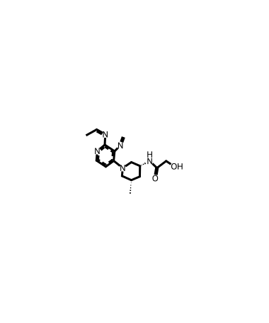 C=Nc1c(N2C[C@@H](C)C[C@@H](NC(=O)CO)C2)ccnc1/N=C\C